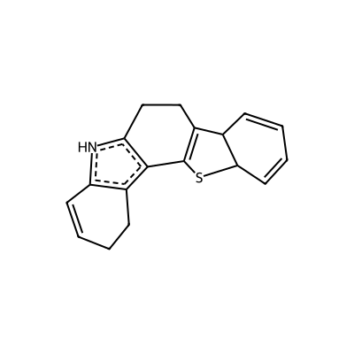 C1=CC2SC3=C(CCc4[nH]c5c(c43)CCC=C5)C2C=C1